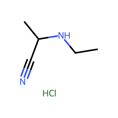 CCNC(C)C#N.Cl